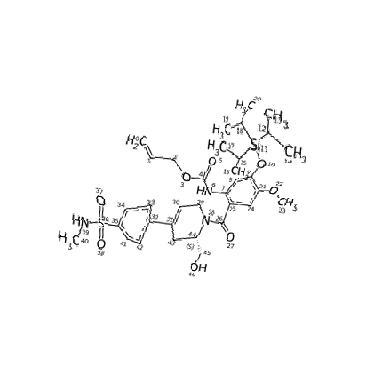 C=CCOC(=O)Nc1cc(O[Si](C(C)C)(C(C)C)C(C)C)c(OC)cc1C(=O)N1CC=C(c2ccc(S(=O)(=O)NC)cc2)C[C@H]1CO